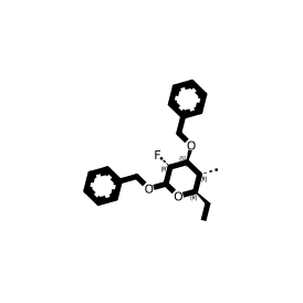 CC[C@H]1OC(OCc2ccccc2)[C@H](F)[C@@H](OCc2ccccc2)[C@@H]1C